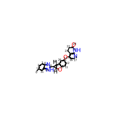 Cc1ccc2nc(C3[C@H]4Oc5ccc(Oc6ccnc7c6CCC(=O)N7)cc5[C@@H]34)[nH]c2c1